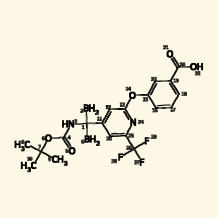 BC(B)(NC(=O)OC(C)(C)C)c1cc(Oc2cccc(C(=O)O)c2)nc(C(F)(F)F)c1